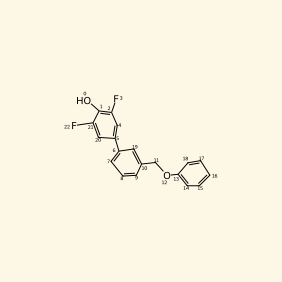 Oc1c(F)cc(-c2cccc(COc3ccccc3)c2)cc1F